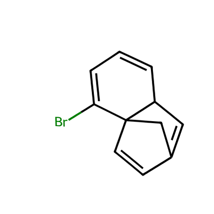 BrC1=CC=CC2C=C3C=CC12C3